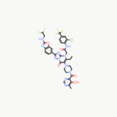 CCc1c(N2CCN(C(=O)c3ncnc(C)c3O)CC2)c(=O)n2nc(-c3ccc4nc(NCC(F)F)oc4c3)nc2n1CC(=O)Nc1ccc(C(F)(F)F)cc1Cl